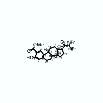 COC(=O)c1cc2c(cc1O)CC[C@@H]1[C@@H]2CC[C@]2(C)[C@@H](C(=O)N(C(C)C)C(C)C)CC[C@@H]12